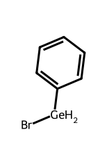 [Br][GeH2][c]1ccccc1